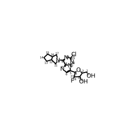 OCC1OC(c2cnc3c(N4CC5CCCC5C4)nc(Cl)nn23)C(F)C1O